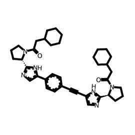 O=C(CC1CCCCC1)N1CCC[C@H]1c1ncc(C#Cc2ccc(-c3cnc([C@@H]4CCCN4C(=O)CC4CCCCC4)[nH]3)cc2)[nH]1